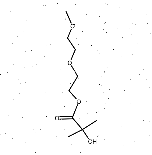 COCCOCCOC(=O)C(C)(C)O